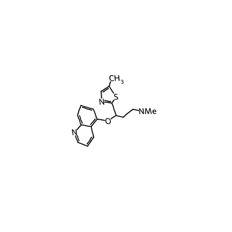 CNCCC(Oc1cccc2ncccc12)c1ncc(C)s1